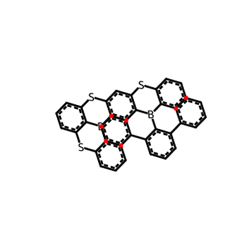 c1ccc(-c2cccc(-c3ccccc3)c2B2c3ccccc3Sc3cc4c(cc32)B2c3ccccc3Sc3cccc(c32)S4)cc1